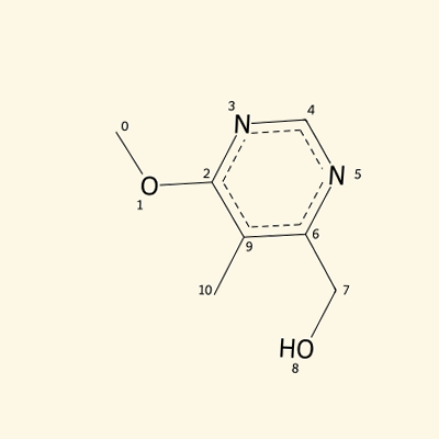 COc1ncnc(CO)c1C